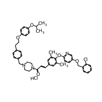 Cc1cc(/C=C/C(=O)N2CCN(Cc3ccc(CCOc4ccc(OC(C)C)cc4)cc3)CC2)cc(C)c1Oc1ccc(OCc2ccccc2Cl)cn1.Cl